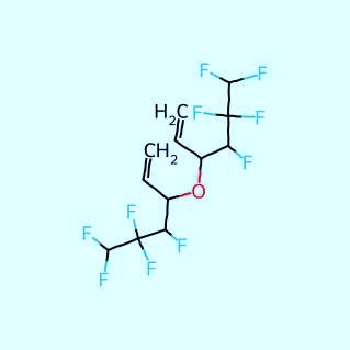 C=CC(OC(C=C)C(F)C(F)(F)C(F)F)C(F)C(F)(F)C(F)F